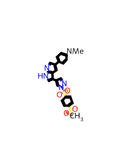 CNc1ccc(-c2cnc3[nH]cc(-c4cnn(S(=O)(=O)c5ccc(S(C)(=O)=O)cc5)c4)c3c2)cc1